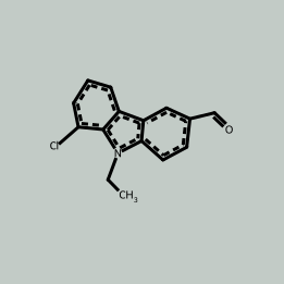 CCn1c2ccc(C=O)cc2c2cccc(Cl)c21